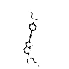 CCN(CCOC)c1ccc2cc(C#Cc3ccc(N(C)CCF)cc3)[nH]c2n1